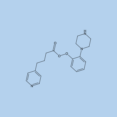 O=C(CCCc1ccncc1)OOc1ccccc1N1CCNCC1